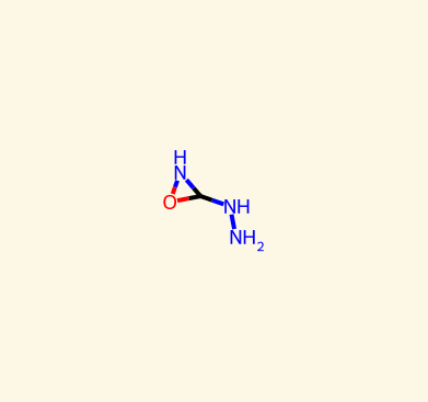 NNC1NO1